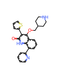 O=c1[nH]c2c(-c3ccccn3)cccc2c(OCC2CCNCC2)c1-c1cccs1